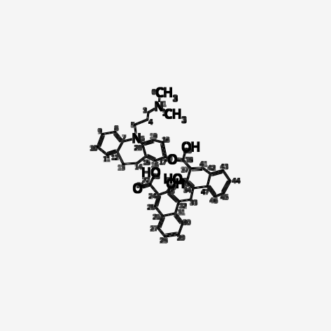 CN(C)CCCN1c2ccccc2CCc2ccccc21.O=C(O)c1cc2ccccc2c(Cc2c(O)c(C(=O)O)cc3ccccc23)c1O